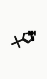 CC(C)(C)C1=CSNC1